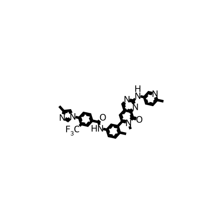 Cc1ccc(Nc2ncc3cc(-c4cc(NC(=O)c5ccc(-n6cnc(C)c6)c(C(F)(F)F)c5)ccc4C)n(C)c(=O)c3n2)cn1